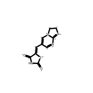 O=C1NC(=O)/C(=C/C2=CN3CCN=C3N=C2)S1